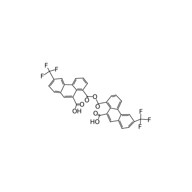 O=C(O)c1cc2ccc(C(F)(F)F)cc2c2cccc(C(=O)OC(=O)c3cccc4c3c(C(=O)O)cc3ccc(C(F)(F)F)cc34)c12